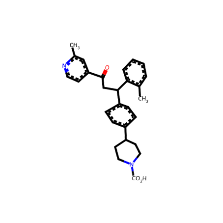 Cc1cc(C(=O)CC(c2ccc(C3CCN(C(=O)O)CC3)cc2)c2ccccc2C)ccn1